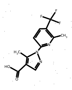 Cc1nc(-n2ncc(C(=O)O)c2C)ccc1C(F)(F)F